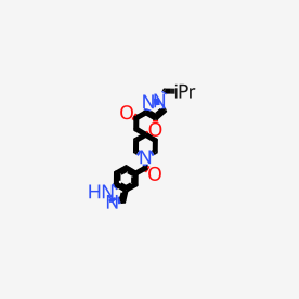 CC(C)Cn1cc2c(n1)C(=O)CC1(CCN(C(=O)c3ccc4[nH]ncc4c3)CC1)O2